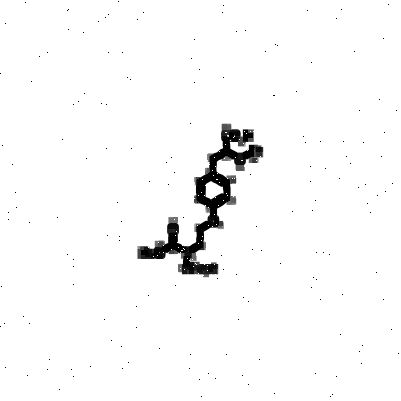 CCCCCCCN(CCOc1ccc(CC(OCC)C(=O)O)cc1)C(=O)OCC(C)C